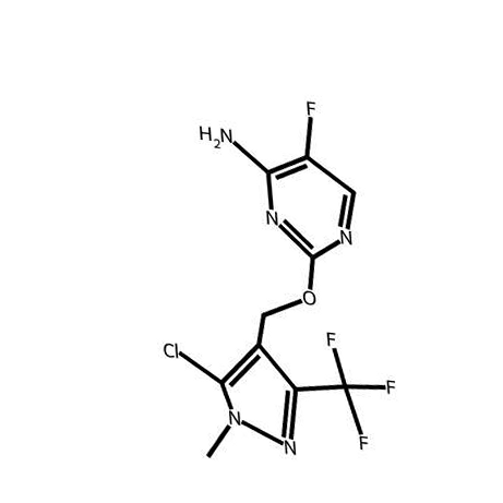 Cn1nc(C(F)(F)F)c(COc2ncc(F)c(N)n2)c1Cl